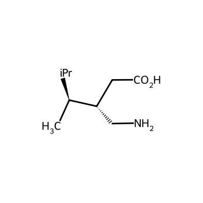 CC(C)[C@H](C)[C@@H](CN)CC(=O)O